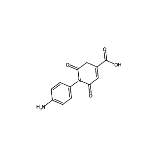 Nc1ccc(N2C(=O)C=C(C(=O)O)CC2=O)cc1